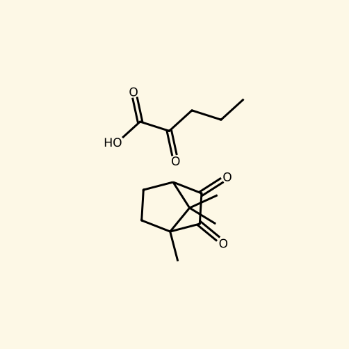 CC12CCC(C(=O)C1=O)C2(C)C.CCCC(=O)C(=O)O